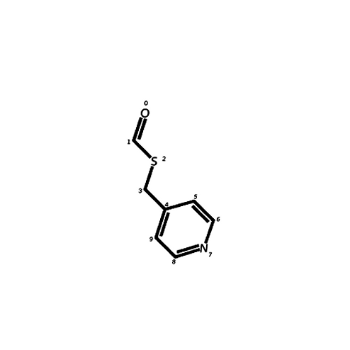 O=CSCc1ccncc1